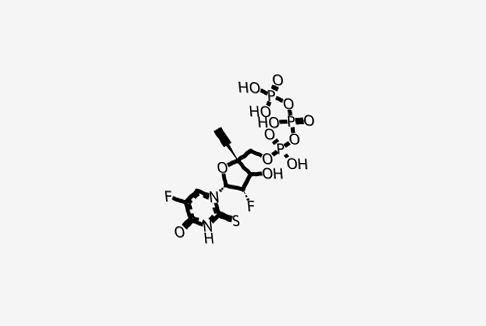 C#C[C@]1(COP(=O)(O)OP(=O)(O)OP(=O)(O)O)O[C@@H](n2cc(F)c(=O)[nH]c2=S)[C@@H](F)C1O